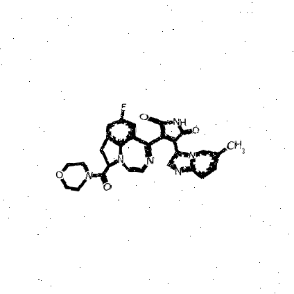 Cc1ccc2ncc(C3=C(C4=NC=CN5c6c(cc(F)cc64)CC5C(=O)N4CCOCC4)C(=O)NC3=O)n2c1